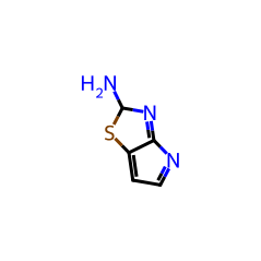 NC1N=C2N=CC=C2S1